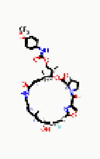 CC1=C\[C@@H](O)C[C@@H](F)Cc2nc(co2)C(=O)N2CCC[C@@H]2C(=O)O[C@H]([C@H](C)COC(=O)Nc2ccc(OC(F)(F)F)cc2)[C@H](C)/C=C/C(=O)NC\C=C\1